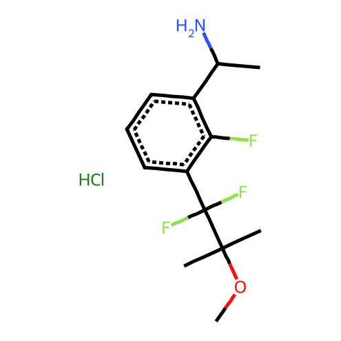 COC(C)(C)C(F)(F)c1cccc(C(C)N)c1F.Cl